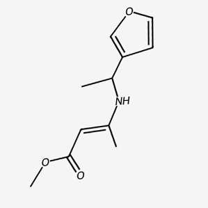 COC(=O)C=C(C)NC(C)c1ccoc1